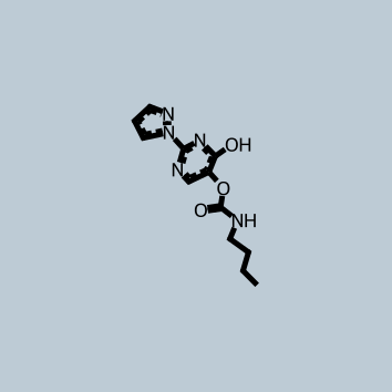 CCCCNC(=O)Oc1cnc(-n2cccn2)nc1O